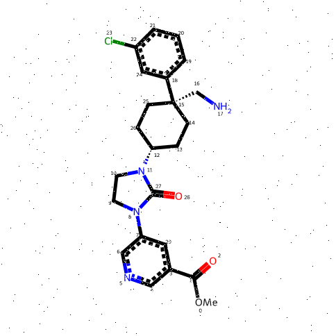 COC(=O)c1cncc(N2CCN([C@H]3CC[C@](CN)(c4cccc(Cl)c4)CC3)C2=O)c1